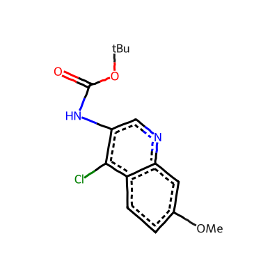 COc1ccc2c(Cl)c(NC(=O)OC(C)(C)C)cnc2c1